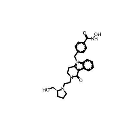 O=C(NO)c1ccc(Cn2c3c(c4ccccc42)C(=O)N(CCN2CCC[C@H]2CO)CC3)cc1